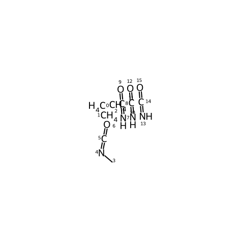 C.C.C.CN=C=O.N=C=O.N=C=O.N=C=O